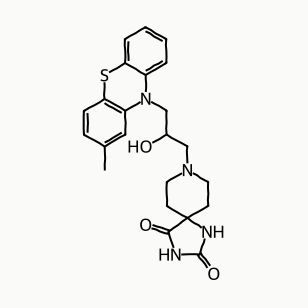 Cc1ccc2c(c1)N(CC(O)CN1CCC3(CC1)NC(=O)NC3=O)c1ccccc1S2